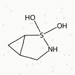 OS1(O)NCC2CC21